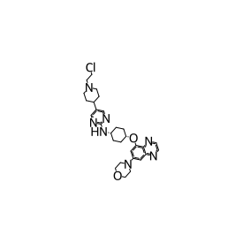 ClCCN1CCC(c2cnc(N[C@H]3CC[C@@H](Oc4cc(N5CCOCC5)cc5nccnc45)CC3)nc2)CC1